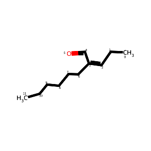 CC/C=C(\C=O)CCCCCC